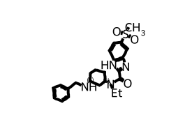 CCN(C(=O)c1nc2cc(S(C)(=O)=O)ccc2[nH]1)[C@H]1CCC[C@@H](NCc2ccccc2)C1